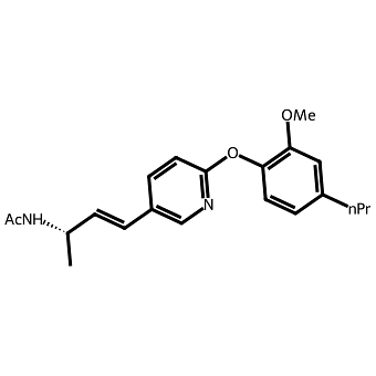 CCCc1ccc(Oc2ccc(/C=C/[C@H](C)NC(C)=O)cn2)c(OC)c1